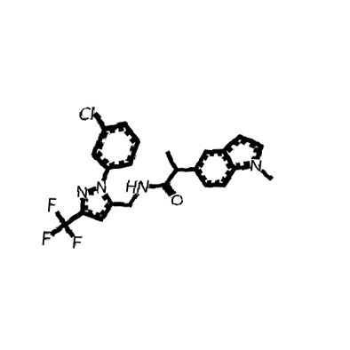 CC(C(=O)NCc1cc(C(F)(F)F)nn1-c1cccc(Cl)c1)c1ccc2c(ccn2C)c1